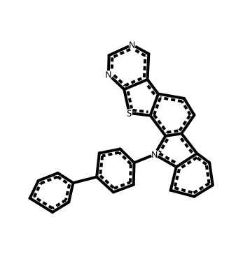 c1ccc(-c2ccc(-n3c4ccccc4c4ccc5c6cncnc6sc5c43)cc2)cc1